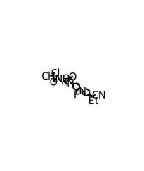 CCC(C#N)=C1CCN(c2ccc(N3C[C@H](CNC(=O)C(Cl)Cl)OC3=O)cc2F)CC1